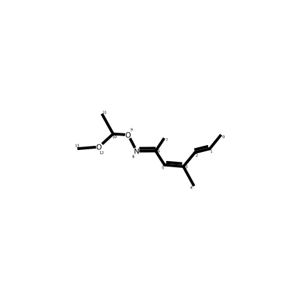 C/C=C/C(C)=C\C(C)=N\OC(C)OC